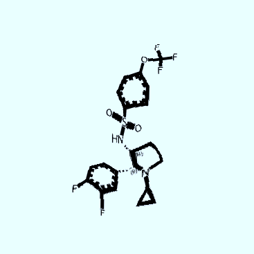 O=S(=O)(N[C@@H]1CCN(C2CC2)[C@@H]1c1ccc(F)c(F)c1)c1ccc(OC(F)(F)F)cc1